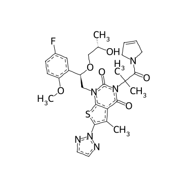 COc1ccc(F)cc1[C@H](Cn1c(=O)n(C(C)(C)C(=O)N2CC=CC2)c(=O)c2c(C)c(-n3nccn3)sc21)OC[C@H](C)O